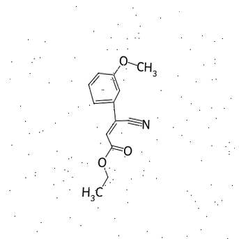 CCOC(=O)/C=C(\C#N)c1cccc(OC)c1